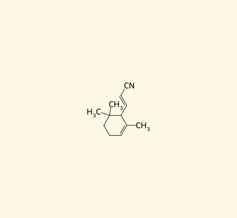 CC1=CCCC(C)(C)C1C=CC#N